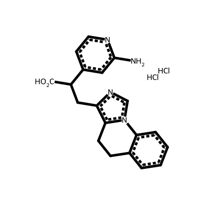 Cl.Cl.Nc1cc(C(Cc2ncn3c2CCc2ccccc2-3)C(=O)O)ccn1